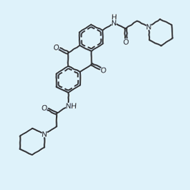 O=C(CN1CCCCC1)Nc1ccc2c(c1)C(=O)c1cc(NC(=O)CN3CCCCC3)ccc1C2=O